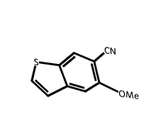 COc1cc2ccsc2cc1C#N